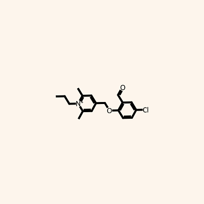 CCC[n+]1c(C)cc(COc2ccc(Cl)cc2C=O)cc1C